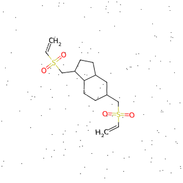 C=CS(=O)(=O)CC1CCC2C(CCC2CS(=O)(=O)C=C)C1